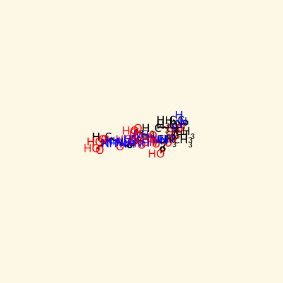 CCCCCCOCN(C(=O)[C@@H](NC(=O)C1CCCCN1C)C(C)CC)[C@H](C[C@@H](OC(C)=O)c1nc(C(=O)N[C@@H](Cc2ccc(O)cc2)C[C@H](C)C(=O)NNC(=O)OCCSSC[C@H](NC(=O)[C@H](CC(=O)O)NC(=O)C(CC(=O)O)NC(=O)Cc2ccc(CNC(=O)NCCCC[C@@H](C)NC(=O)N[C@@H](CCC(=O)O)C(=O)O)cc2)C(=O)O)cs1)C(C)C